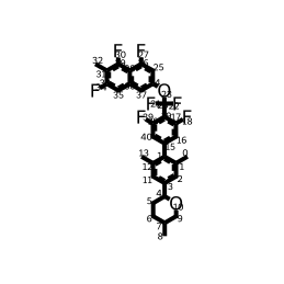 Cc1cc(C2CCC(C)CO2)cc(C)c1-c1cc(F)c(C(F)(F)Oc2cc(F)c3c(F)c(C)c(F)cc3c2)c(F)c1